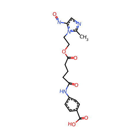 Cc1ncc(N=O)n1CCOC(=O)CCCC(=O)Nc1ccc(C(=O)O)cc1